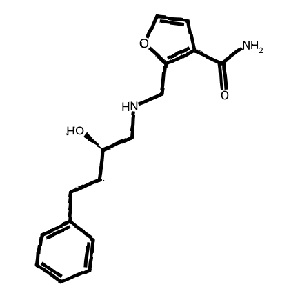 NC(=O)c1ccoc1CNC[C@H](O)[CH]Cc1ccccc1